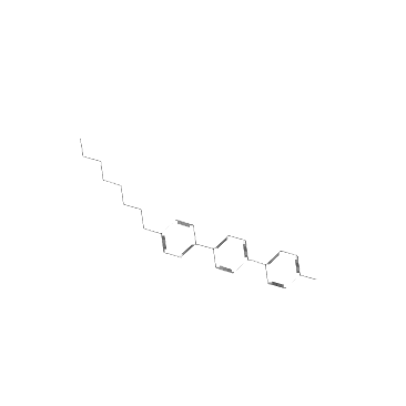 CCCCCCCCc1ccc(-c2ccc(-c3ccc(C)cc3)cc2)cc1